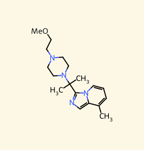 COCCN1CCN(C(C)(C)c2ncc3c(C)cccn23)CC1